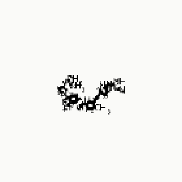 Cc1ccc(C(=O)Nc2ccc(CN3CC[C@@H](CN(C)C)C3)c(C(F)(F)F)c2)cc1C#Cc1ccc(NC(=N)NC#N)nc1